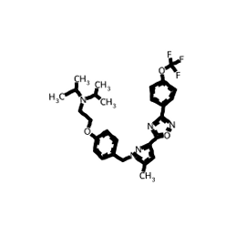 Cc1cc(-c2nc(-c3ccc(OC(F)(F)F)cc3)no2)nn1Cc1ccc(OCCN(C(C)C)C(C)C)cc1